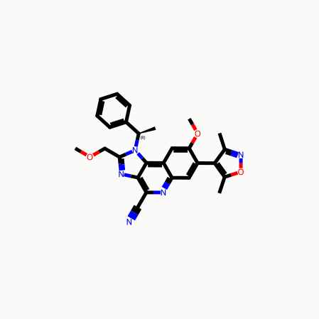 COCc1nc2c(C#N)nc3cc(-c4c(C)noc4C)c(OC)cc3c2n1[C@H](C)c1ccccc1